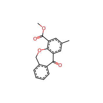 COC(=O)c1cc(C)cc2c1OCc1ccccc1C2=O